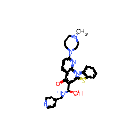 CN1CCCN(c2ccc3c(=O)c(C(O)NCc4ccncc4)c4sc5ccccc5n4c3n2)CC1